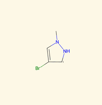 CN1C=C(Br)[C]N1